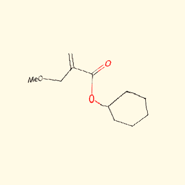 C=C(COC)C(=O)OC1CCCCC1